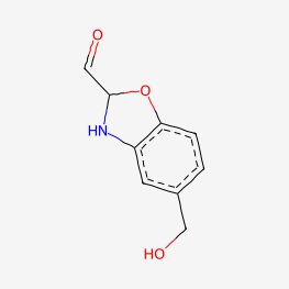 O=CC1Nc2cc(CO)ccc2O1